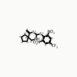 C=C1SC(Sc2c([N+](=O)[O-])cc(C(F)(F)F)cc2[N+](=O)[O-])NCC12CCCC2